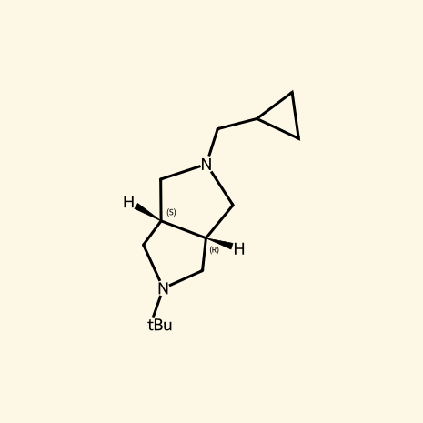 CC(C)(C)N1C[C@H]2CN(CC3CC3)C[C@H]2C1